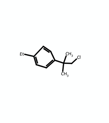 CCc1ccc(C(C)(C)CCl)cc1